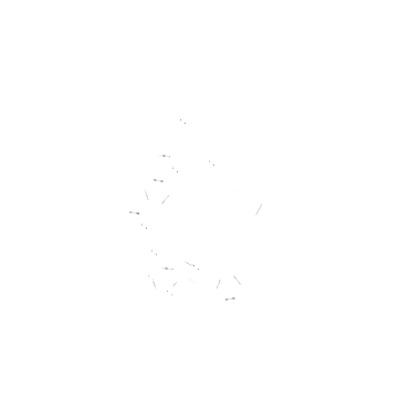 CCOc1cccc(Cn2ncc3c(N4CCN(C(=O)c5ccc(N(CCN(C)C)C(=O)CCN(C)C)cc5)CC4)ncnc32)c1.O=C(O)C=CC(=O)O